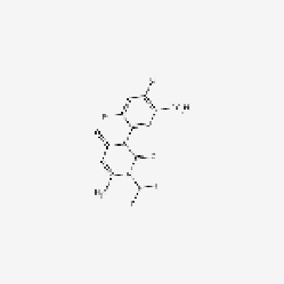 Cc1cc(=O)n(-c2cc(C(=O)O)c(Cl)cc2F)c(=O)n1C(F)F